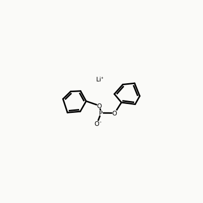 [Li+].[O-]P(Oc1ccccc1)Oc1ccccc1